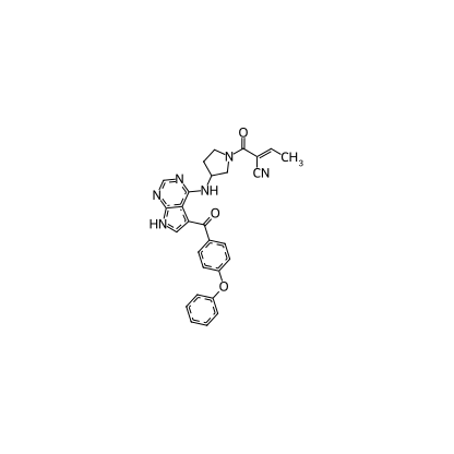 C/C=C(\C#N)C(=O)N1CCC(Nc2ncnc3[nH]cc(C(=O)c4ccc(Oc5ccccc5)cc4)c23)C1